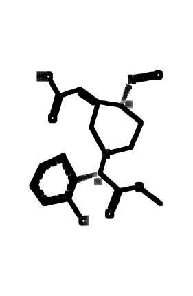 COC(=O)[C@H](c1ccccc1Cl)N1CC[C@@H](N=O)C(=CC(=O)O)C1